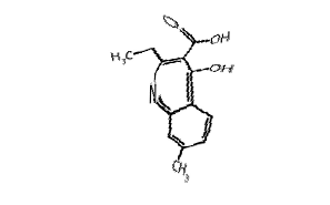 CCc1nc2cc(C)ccc2c(O)c1C(=O)O